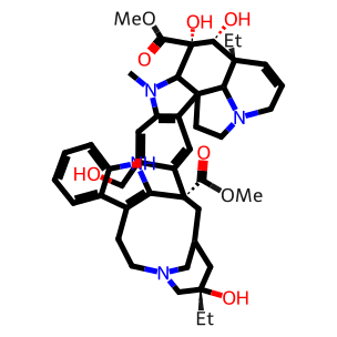 CC[C@]1(O)CC2CN(CCc3c([nH]c4ccccc34)[C@@](C(=O)OC)(c3cc4c(cc3CO)N(C)C3C45CCN4CC=C[C@](CC)(C45)[C@@H](O)[C@]3(O)C(=O)OC)C2)C1